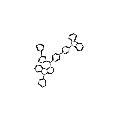 c1ccc(-c2cccc(N(c3ccc(-c4ccc(-n5c6ccccc6c6ccccc65)cc4)cc3)c3cccc4c3c3ccccc3n4-c3ccccc3)c2)cc1